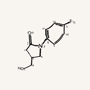 O=C1CC(CO)CN1c1ccc(F)cc1